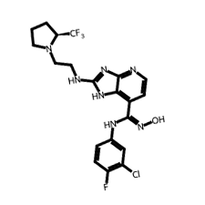 O/N=C(/Nc1ccc(F)c(Cl)c1)c1ccnc2nc(NCCN3CCC[C@H]3C(F)(F)F)[nH]c12